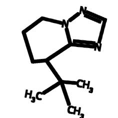 CC(C)(C)C1CCCn2ncnc21